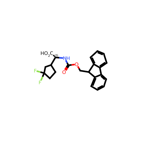 O=C(N[C@H](C(=O)O)C1CCC(F)(F)C1)OCC1c2ccccc2-c2ccccc21